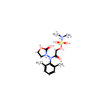 Cc1cccc(C)c1N(C(=O)COS(=O)(=O)N(C)C)N1CCOC1=O